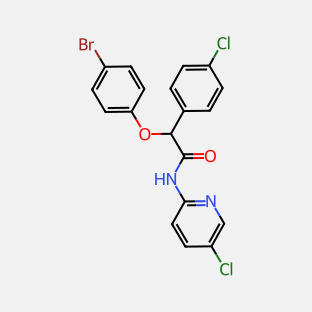 O=C(Nc1ccc(Cl)cn1)C(Oc1ccc(Br)cc1)c1ccc(Cl)cc1